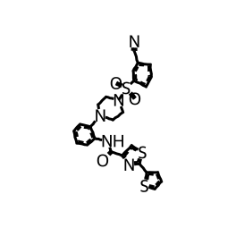 N#Cc1cccc(S(=O)(=O)N2CCN(c3ccccc3NC(=O)c3csc(-c4cccs4)n3)CC2)c1